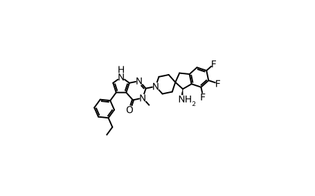 CCc1cccc(-c2c[nH]c3nc(N4CCC5(CC4)Cc4cc(F)c(F)c(F)c4[C@H]5N)n(C)c(=O)c23)c1